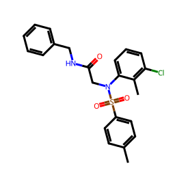 Cc1ccc(S(=O)(=O)N(CC(=O)NCc2ccccc2)c2cccc(Cl)c2C)cc1